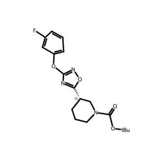 CC(C)(C)OC(=O)N1CCC[C@H](c2nc(Oc3cccc(F)c3)no2)C1